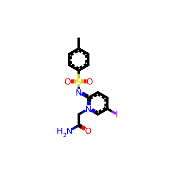 Cc1ccc(S(=O)(=O)/N=c2\ccc(I)cn2CC(N)=O)cc1